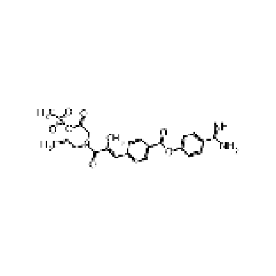 C=CCN(CC(=O)OS(C)(=O)=O)C(=O)/C(C)=C/c1ccc(C(=O)Oc2ccc(C(=N)N)cc2)cc1